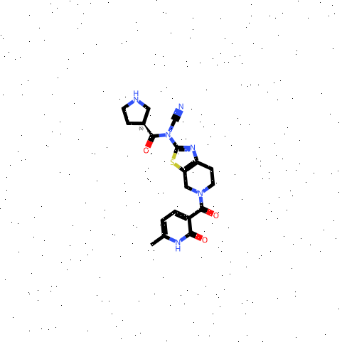 Cc1ccc(C(=O)N2CCc3nc(N(C#N)C(=O)[C@H]4CCNC4)sc3C2)c(=O)[nH]1